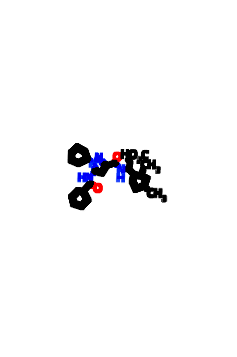 Cc1ccc(C(CC(=O)O)NC(=O)c2cc(NC(=O)c3ccccc3)n(-c3ccccc3)n2)c(C)c1